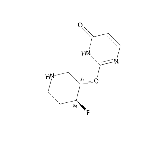 O=c1ccnc(O[C@H]2CNCC[C@@H]2F)[nH]1